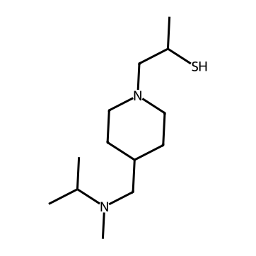 CC(S)CN1CCC(CN(C)C(C)C)CC1